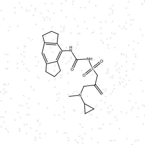 C=C(CN(C)C1CC1)CS(=O)(=O)NC(=O)Nc1c2c(cc3c1CCC3)CCC2